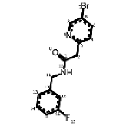 O=C(Cc1ccc(Br)cn1)NCc1cccc(F)c1